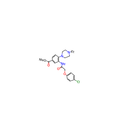 CCN1CCN(c2ccc(C(=O)OC)cc2NC(=O)COc2ccc(Cl)cc2)CC1